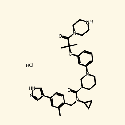 Cc1cc(-c2cn[nH]c2)ccc1CN(C(=O)[C@@H]1CCCN(c2cccc(OC(C)(C)C(=O)N3CCNCC3)c2)C1)C1CC1.Cl